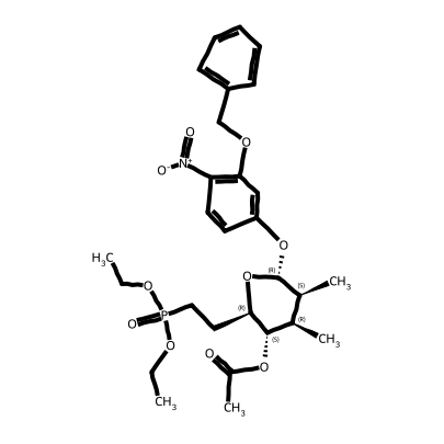 CCOP(=O)(CC[C@H]1O[C@H](Oc2ccc([N+](=O)[O-])c(OCc3ccccc3)c2)[C@@H](C)[C@@H](C)[C@@H]1OC(C)=O)OCC